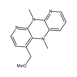 COCc1ccnc2c1N(C)c1cccnc1N2C